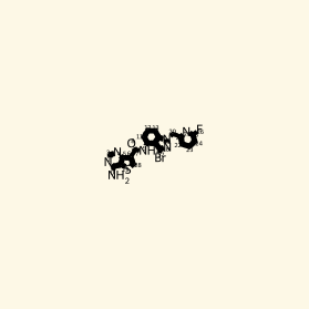 Nc1ncnc2c(C(=O)Nc3cccc4c3c(Br)nn4Cc3cccc(F)n3)csc12